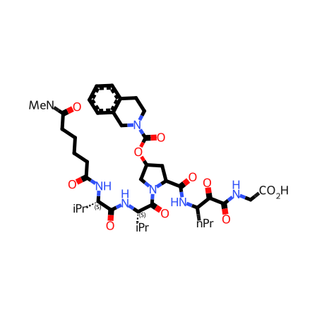 CCCC(NC(=O)C1CC(OC(=O)N2CCc3ccccc3C2)CN1C(=O)[C@@H](NC(=O)[C@@H](NC(=O)CCCCC(=O)NC)C(C)C)C(C)C)C(=O)C(=O)NCC(=O)O